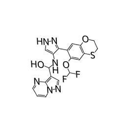 OC(Nc1c[nH]nc1-c1cc2c(cc1OC(F)F)SCCO2)c1cnn2cccnc12